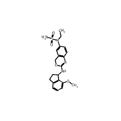 CCN(c1ccc2c(c1)COC(NC1CCc3cccc(OC)c31)=N2)S(N)(=O)=O